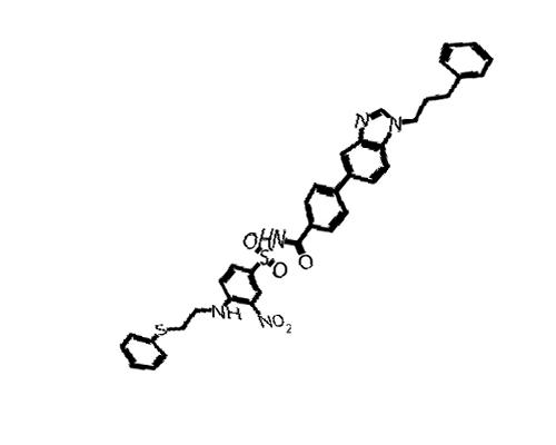 O=C(NS(=O)(=O)c1ccc(NCCSc2ccccc2)c([N+](=O)[O-])c1)c1ccc(-c2ccc3c(c2)ncn3CCCc2ccccc2)cc1